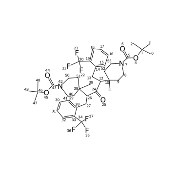 CC(C)(C)OC(=O)N1CCC(C)(C(Cc2ccccc2C(F)(F)F)C(=O)C(Cc2ccccc2C(F)(F)F)C2(C)CCN(C(=O)OC(C)(C)C)CC2)CC1